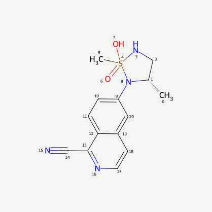 C[C@H]1CNS(C)(=O)(O)N1c1ccc2c(C#N)nccc2c1